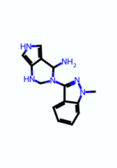 Cn1nc(N2CNc3c[nH]cc3C2N)c2ccccc21